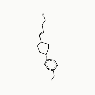 FCC/C=C/[C@H]1CC[C@H](c2ccc(CF)cc2)CC1